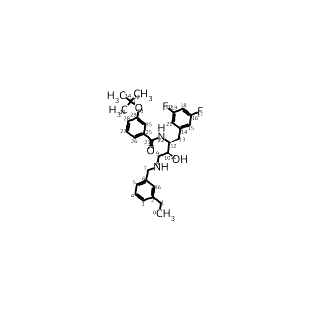 CCc1cccc(CNC[C@H](O)[C@H](Cc2cc(F)cc(F)c2)NC(=O)c2cccc(OC(C)(C)C)c2)c1